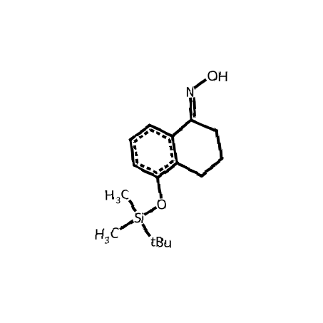 CC(C)(C)[Si](C)(C)Oc1cccc2c1CCCC2=NO